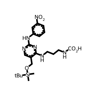 CC(C)(C)[Si](C)(C)OCc1cnc(Nc2cccc([N+](=O)[O-])c2)nc1NCCCNC(=O)O